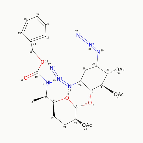 CC(=O)O[C@H]1[C@H](O[C@H]2O[C@H]([C@@H](C)NC(=O)OCc3ccccc3)CC[C@@H]2OC(C)=O)C(N=[N+]=[N-])CC(N=[N+]=[N-])[C@@H]1OC(C)=O